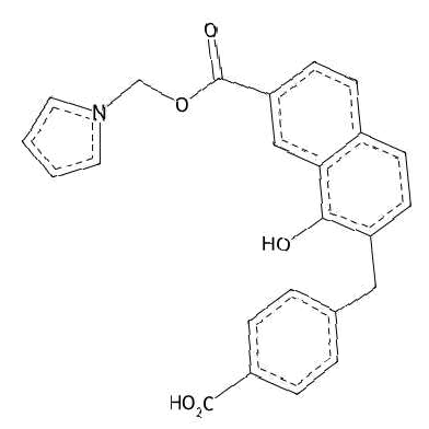 O=C(O)c1ccc(Cc2ccc3ccc(C(=O)OCn4cccc4)cc3c2O)cc1